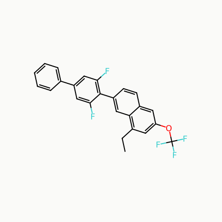 CCc1cc(OC(F)(F)F)cc2ccc(-c3c(F)cc(-c4ccccc4)cc3F)cc12